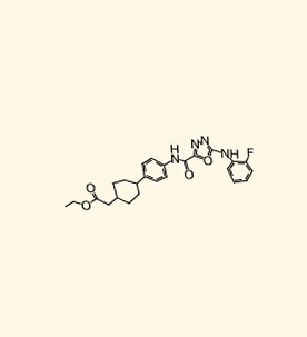 CCOC(=O)CC1CCC(c2ccc(NC(=O)c3nnc(Nc4ccccc4F)o3)cc2)CC1